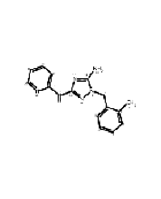 Cc1ccccc1Cn1nc(Nc2ccccn2)nc1N